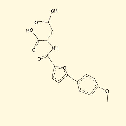 COc1ccc(-c2ccc(C(=O)N[C@@H](CC(=O)O)C(=O)O)o2)cc1